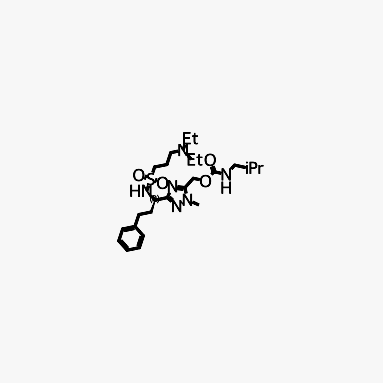 CCN(CC)CCCS(=O)(=O)N[C@H](CCc1ccccc1)c1nc(COC(=O)NCC(C)C)n(C)n1